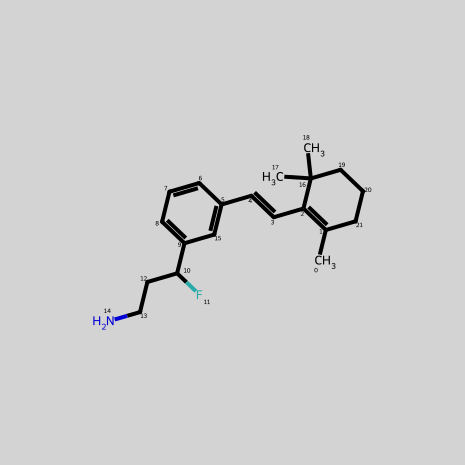 CC1=C(C=Cc2cccc(C(F)CCN)c2)C(C)(C)CCC1